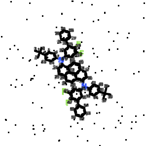 CC(C)(C)c1ccc(N(c2cc(F)c(F)c(-c3ccccc3)c2)c2ccc3ccc4c(N(c5ccc(C(C)(C)C)cc5)c5cc(F)c(F)c(-c6ccccc6)c5)ccc5ccc2c3c54)cc1